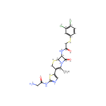 NCC(=O)Nc1ncc(C2=C(C(=O)O)N3C(=O)C(NC(=O)CSc4ccc(Cl)c(Cl)c4)C3SC2)s1